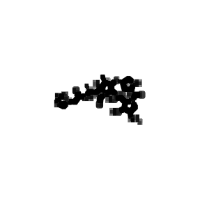 C[C@@H](NC(=O)Cn1cnnn1)[C@H]1C(=O)N2C(C(=O)O)=C(S[C@@H]3CN[C@H](C(=O)N4CC(N)C(O)C4CO)C3)[C@H](C)[C@H]12